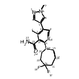 Cc1c(-c2cnn(C)c2)cnc(N2CCCC(F)(F)CC2)c1C(N)=O